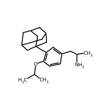 CC(N)Cc1ccc(OC(C)C)c(C23CC4CC(CC(C4)C2)C3)c1